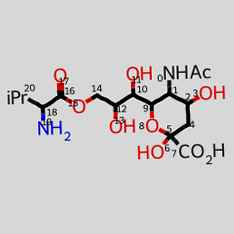 CC(=O)NC1C(O)CC(O)(C(=O)O)OC1C(O)C(O)COC(=O)C(N)C(C)C